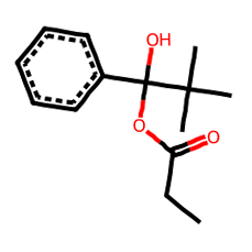 CCC(=O)OC(O)(c1ccccc1)C(C)(C)C